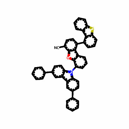 N#Cc1ccc(-c2cccc3sc4ccccc4c23)c2c1oc1c(-n3c4ccc(-c5ccccc5)cc4c4cc(-c5ccccc5)ccc43)cccc12